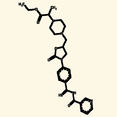 CCOC(=O)C(C)N1CCN(CC2CN(c3ccc(C(=N)NC(=O)c4cccnc4)cc3)C(=O)O2)CC1